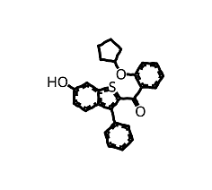 O=C(c1ccccc1OC1CCCC1)c1sc2cc(O)ccc2c1-c1ccccc1